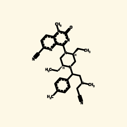 CC[C@H]1CN(C(CN(C)CC#N)c2ccc(C)cc2)[C@H](CC)CN1c1nc(=O)n(C)c2ccc(C#N)nc12